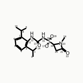 CC(C)c1cccc(C(C)C)c1NC(=O)NS(=O)(=O)C1CC(=O)N1C